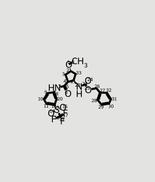 CO[C@H]1CC(C(=O)Nc2cccc(S(=O)(=O)C(F)(F)F)c2)[C@H](NC(=O)OCc2ccccc2)C1